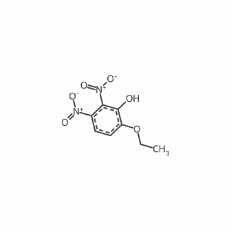 CCOc1ccc([N+](=O)[O-])c([N+](=O)[O-])c1O